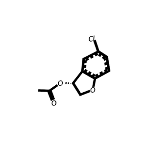 CC(=O)O[C@H]1COc2ccc(Cl)cc21